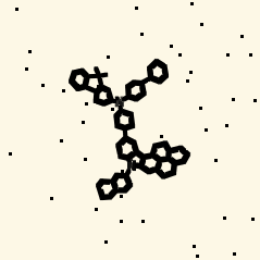 CC1(C)c2ccccc2-c2ccc(N(c3ccc(-c4ccccc4)cc3)c3ccc(-c4ccc5c(c4)c4c6ccc7cccc8ccc(cc4n5-c4ccc5ccccc5c4)c6c87)cc3)cc21